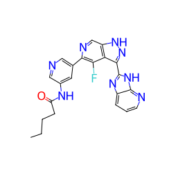 CCCCC(=O)Nc1cncc(-c2ncc3[nH]nc(-c4nc5cccnc5[nH]4)c3c2F)c1